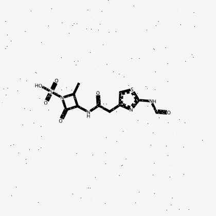 CC1C(NC(=O)[C]c2csc(NC=O)n2)C(=O)N1S(=O)(=O)O